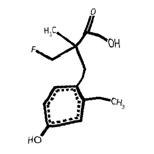 Cc1cc(O)ccc1CC(C)(CF)C(=O)O